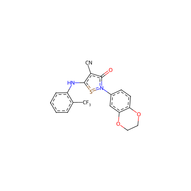 N#Cc1c(Nc2ccccc2C(F)(F)F)sn(-c2ccc3c(c2)OCCO3)c1=O